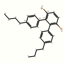 CCCCc1ccc(-c2c(Br)ccc(Br)c2-c2ccc(CCCC)cc2)cc1